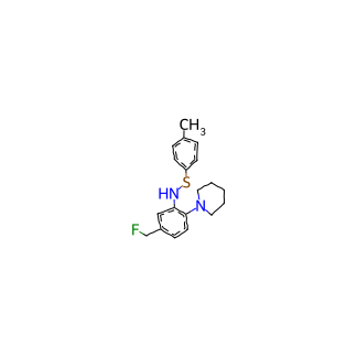 Cc1ccc(SNc2cc(CF)ccc2N2CCCCC2)cc1